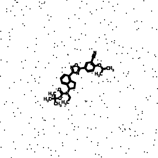 CCN(C(=O)OC(C)(C)C)C1CCc2c(-c3noc(-c4ccc(OC(C)C)c(C#N)c4)n3)cccc21